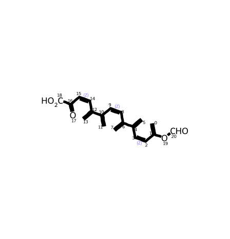 C=C(/C=C\C(=C)C(=C)/C=C\C(=C)C(=C)/C=C\C(=O)C(=O)O)OC=O